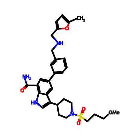 COCCCS(=O)(=O)N1CCC(c2c[nH]c3c(C(N)=O)cc(-c4cccc(CNCc5ccc(C)o5)c4)cc23)CC1